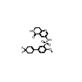 COc1ccc(C2=CCC(F)(F)CC2)cc1S(=O)(=O)Nc1cnc2c(c1)C(=O)NCC2